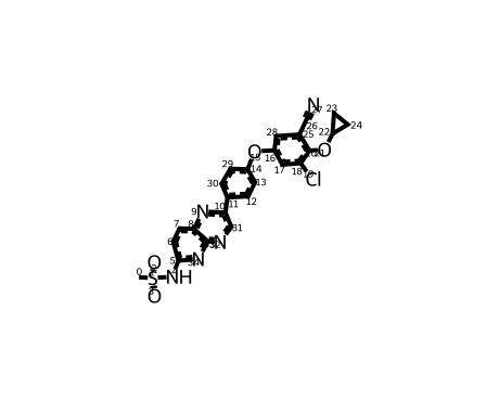 CS(=O)(=O)Nc1ccc2nc(-c3ccc(Oc4cc(Cl)c(OC5CC5)c(C#N)c4)cc3)cnc2n1